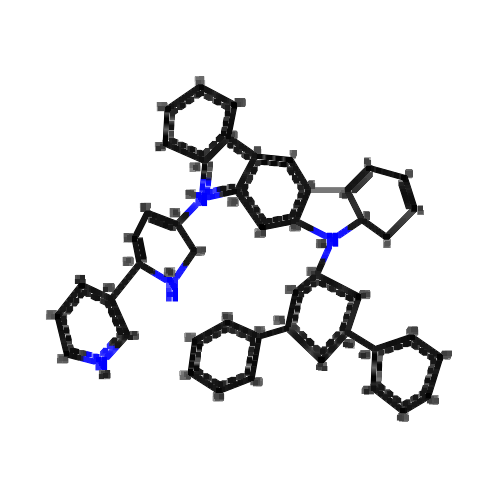 C1=CCC2C(=C1)c1cc3c4ccccc4n(C4=CC=C(c5cccnc5)NC4)c3cc1N2c1cc(-c2ccccc2)cc(-c2ccccc2)c1